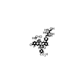 O=C(O)c1ccc(NC(=O)C2c3cccc(C4=CCN(C[C@H](O)[C@@H](O)[C@H](O)[C@H](O)CO)CC4)c3CCN2C(=O)/C=C/c2c(-n3cnnn3)ccc(Cl)c2F)cc1.O=CO